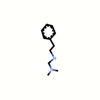 CN(C)C[N]CCc1ccccc1